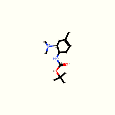 CC1=CCC(NC(=O)OC(C)(C)C)[C@@H](N(C)C)C1